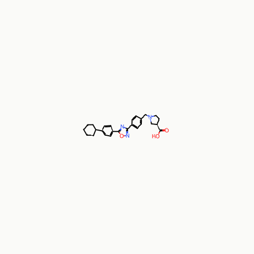 O=C(O)[C@@H]1CCN(Cc2ccc(-c3noc(-c4ccc(C5CCCCC5)cc4)n3)cc2)C1